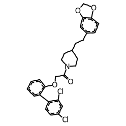 O=C(COc1ccccc1-c1ccc(Cl)cc1Cl)N1CCC(CCc2ccc3c(c2)OCO3)CC1